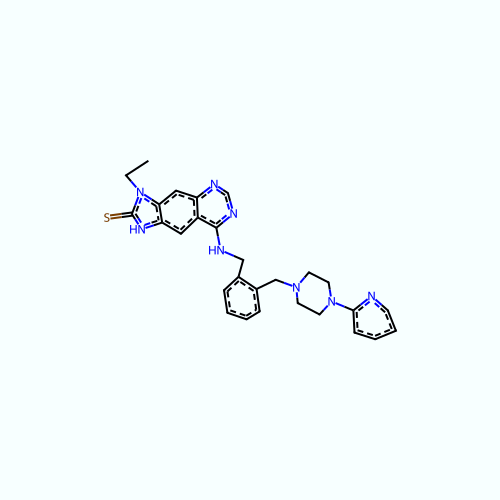 CCn1c(=S)[nH]c2cc3c(NCc4ccccc4CN4CCN(c5ccccn5)CC4)ncnc3cc21